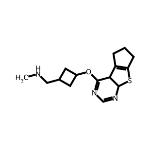 CNCC1CC(OC2=NC=NC3SC4=C(CCC4)C23)C1